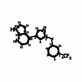 FC(F)(F)c1cccc(Cn2cc(-c3ccnc4[nH]ccc34)cn2)c1